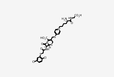 N[C@@H](CCCC[n+]1ccc(SCC2=C(C(=O)O)N3C(=O)[C@H](NC(=O)CSc4cc(Cl)ccc4Cl)[C@H]3SC2)cc1)C(=O)NCC(=O)O